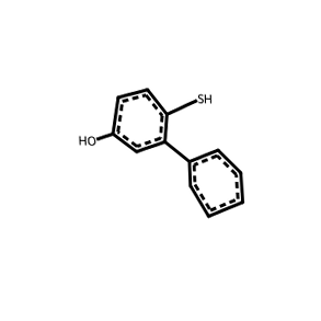 Oc1ccc(S)c(-c2ccccc2)c1